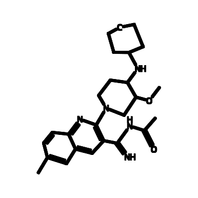 COC1CN(c2nc3ccc(C)cc3cc2C(=N)NC(C)=O)CCC1NC1CCCCC1